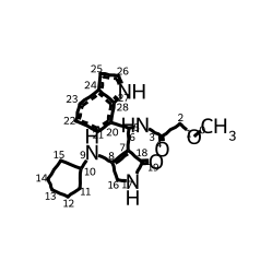 COCC(=O)NC(C1=C(NC2CCCCC2)CNC1=O)c1cccc2cc[nH]c12